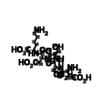 NCCCC[C@H](NC(=O)[C@H](CC(=O)O)NC(=O)/C(=C\O)NC(=O)[C@H](CC(=O)O)NC(=O)[C@@H](N)CC(=O)O)C(=O)O